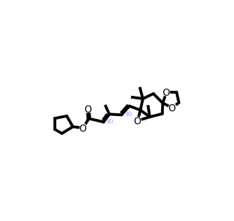 CC(/C=C/C12OC1(C)CC1(CC2(C)C)OCCO1)=C\C(=O)OC1CCCC1